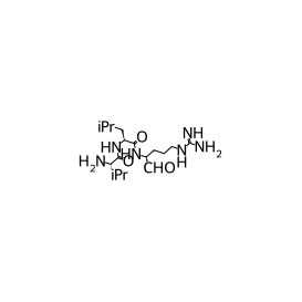 CC(C)C[C@H](NC(=O)[C@@H](N)C(C)C)C(=O)N[C@H](C=O)CCCNC(=N)N